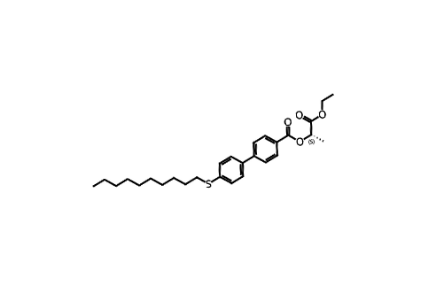 CCCCCCCCCCSc1ccc(-c2ccc(C(=O)O[C@@H](C)C(=O)OCC)cc2)cc1